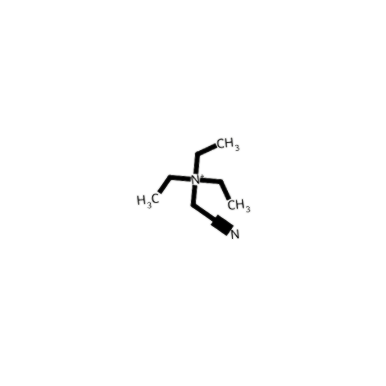 CC[N+](CC)(CC)CC#N